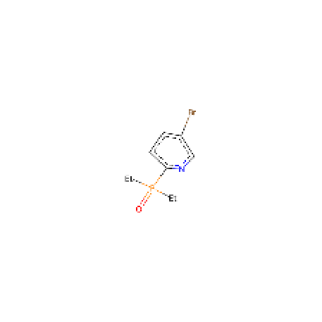 CCP(=O)(CC)c1ccc(Br)cn1